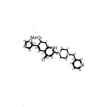 COC1Cc2[nH]c(N3CCN(Cc4cccnc4)CC3)cc(=O)c2C=C1c1cnco1